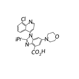 CC(C)c1nc2c(C(=O)O)cc(N3CCOCC3)cc2n1-c1ccnc2c(Cl)cccc12